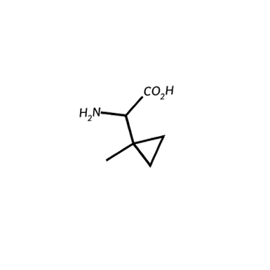 CC1(C(N)C(=O)O)CC1